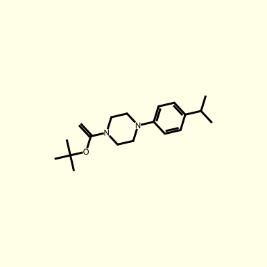 C=C(OC(C)(C)C)N1CCN(c2ccc(C(C)C)cc2)CC1